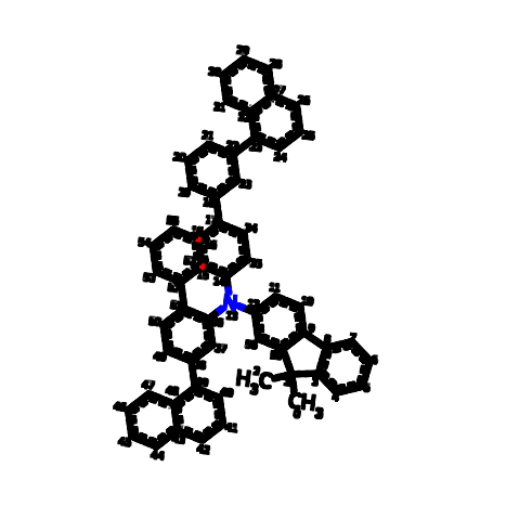 CC1(C)c2ccccc2-c2ccc(N(c3ccc(-c4cccc(-c5cccc6ccccc56)c4)cc3)c3cc(-c4cccc5ccccc45)ccc3-c3ccccc3)cc21